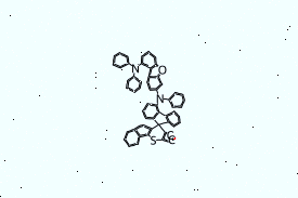 c1ccc(N(c2ccc3c(c2)oc2cccc(N(c4ccccc4)c4ccccc4)c23)c2cccc3c2-c2ccccc2C32c3ccccc3Sc3c2ccc2ccccc32)cc1